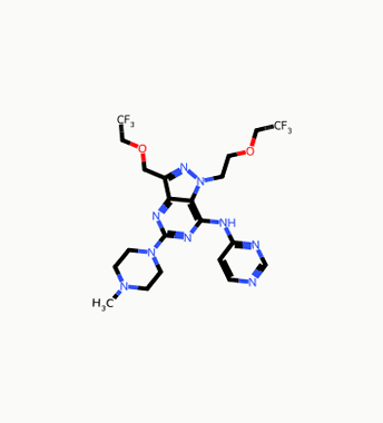 CN1CCN(c2nc(Nc3ccncn3)c3c(n2)c(COCC(F)(F)F)nn3CCOCC(F)(F)F)CC1